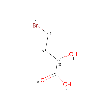 O=C(O)[C@@H](O)CCBr